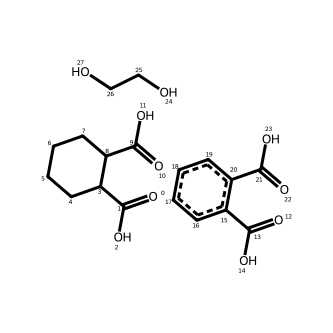 O=C(O)C1CCCCC1C(=O)O.O=C(O)c1ccccc1C(=O)O.OCCO